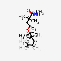 CNC(=O)C(C)(C)CCOC(C)(C)C(C)(C)CC(C)C(C)C